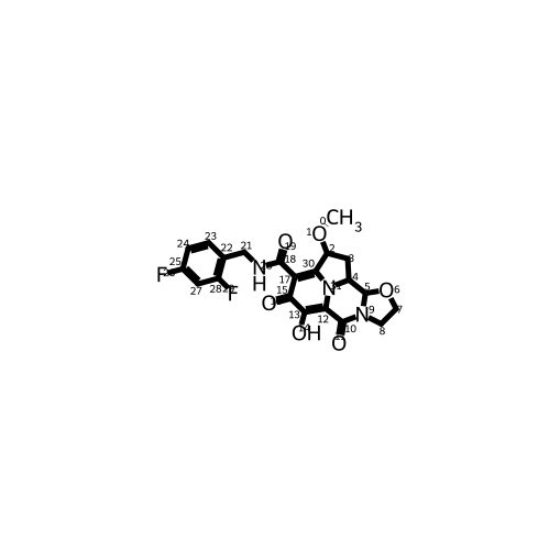 COC1CC2C3OCCN3C(=O)c3c(O)c(=O)c(C(=O)NCc4ccc(F)cc4F)c1n32